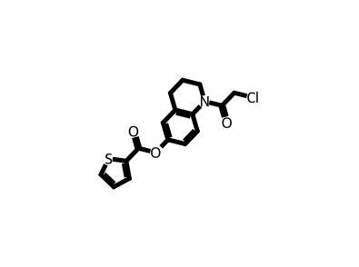 O=C(Oc1ccc2c(c1)CCCN2C(=O)CCl)c1cccs1